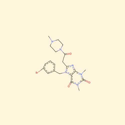 CN1CCN(C(=O)Cc2nc3c(c(=O)n(C)c(=O)n3C)n2Cc2cccc(Br)c2)CC1